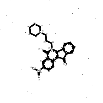 O=C1c2ccccc2-c2c1c1ccc([N+](=O)[O-])cc1c(=O)n2CCCN1CCCCC1